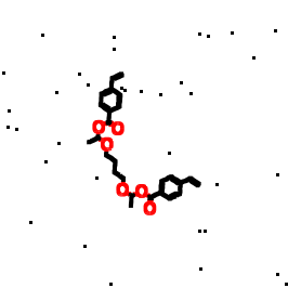 C=Cc1ccc(C(=O)OC(C)OCCCCOC(C)OC(=O)c2ccc(C=C)cc2)cc1